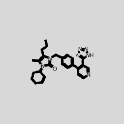 CCCc1c(C)n(C2CCCCC2)c(=O)n1Cc1ccc(-c2ccncc2-c2nnn[nH]2)cc1